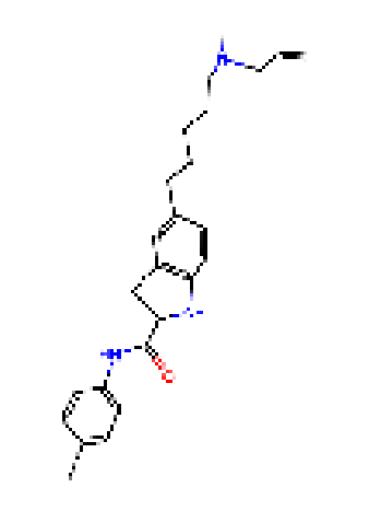 C=CCN(C)CCCCCc1ccc2c(c1)CC(C(=O)Nc1ccc(C)cc1)N2